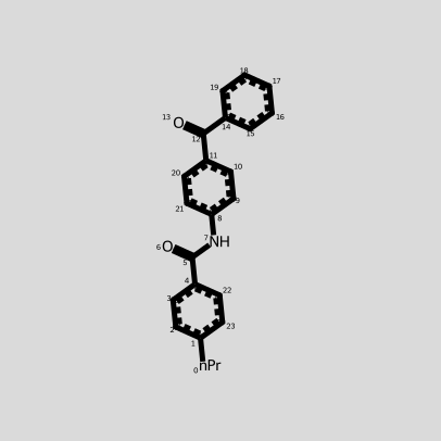 CCCc1ccc(C(=O)Nc2ccc(C(=O)c3ccccc3)cc2)cc1